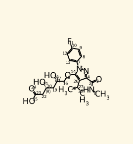 CNC(=O)c1nn(-c2ccc(F)cc2)c(OC[C@@H](O)C[C@@H](O)CC(=O)O)c1C(C)C